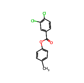 Cc1ccc(OC(=O)c2ccc(Cl)c(Cl)c2)cc1